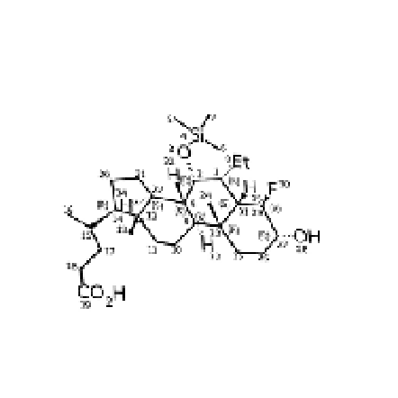 CC[C@H]1[C@@H](O[Si](C)(C)C)[C@@H]2[C@H](CC[C@]3(C)[C@@H](C(C)CCC(=O)O)CC[C@@H]23)[C@@]2(C)CC[C@@H](O)[C@H](F)[C@@H]12